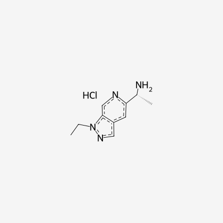 CCn1ncc2cc([C@@H](C)N)ncc21.Cl